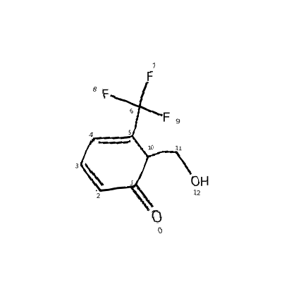 O=C1[C]=CC=C(C(F)(F)F)C1CO